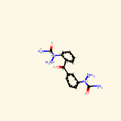 NC(=O)N(N)c1cccc(C(=O)c2ccccc2N(N)C(N)=O)c1